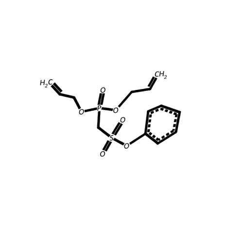 C=CCOP(=O)(CS(=O)(=O)Oc1ccccc1)OCC=C